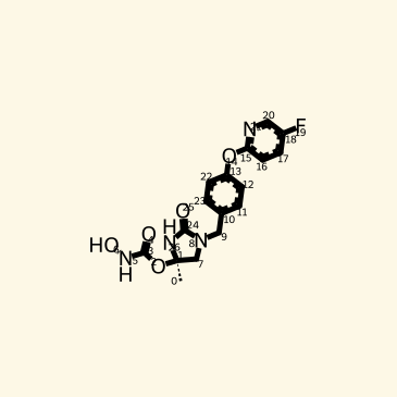 C[C@@]1(OC(=O)NO)CN(Cc2ccc(Oc3ccc(F)cn3)cc2)C(=O)N1